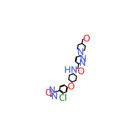 O=CC1CCN(c2ccc(C(=O)NC3CCC(Oc4ccc(-c5ncon5)c(Cl)c4)CC3)nn2)CC1